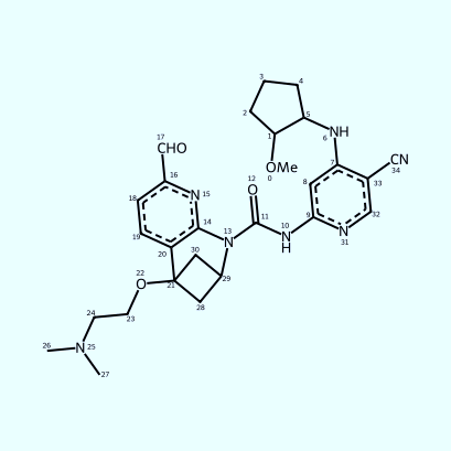 COC1CCCC1Nc1cc(NC(=O)N2c3nc(C=O)ccc3C3(OCCN(C)C)CC2C3)ncc1C#N